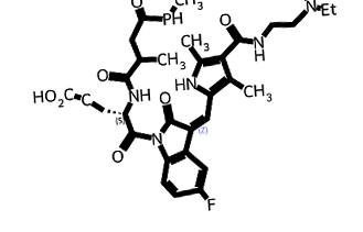 CCN(CC)CCNC(=O)c1c(C)[nH]c(/C=C2\C(=O)N(C(=O)[C@H](CCC(=O)O)NC(=O)C(C)CC(=O)PC)c3ccc(F)cc32)c1C